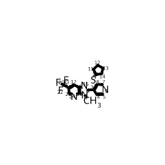 Cn1c(-c2ccncc2SC2CCCC2)nc2cc(C(F)(F)F)cnc21